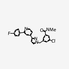 CNC(=O)c1cc(Cl)cc(Cn2ccc(-c3ccnc(-c4ccc(F)cc4)c3)n2)c1